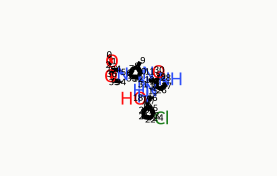 COC[C@@H]1CN(c2cc(C)c3nc(-c4c(NC[C@@H](O)c5cccc(Cl)c5)cc[nH]c4=O)[nH]c3c2)CCO1